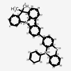 CC1(C)c2ccccc2-n2c3ccc(-c4ccc5c(c4)N(C4=CC=CCC4)c4ccccc4S5)cc3c3cccc1c32